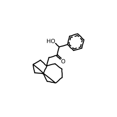 O=C(CC12CCCC3CC1CC3C2)C(O)c1ccccc1